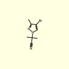 Cc1nn(C(C)(C)C#N)cc1Br